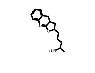 CC(N)CCCC1CC2Cc3ccccc3N=C2O1